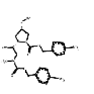 CC(=O)S[C@H]1C[C@@H](C(O)CN(C)C(=O)OCc2ccc([N+](=O)[O-])cc2)N(C(=O)OCc2ccc([N+](=O)[O-])cc2)C1